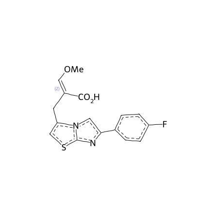 CO/C=C(/Cc1csc2nc(-c3ccc(F)cc3)cn12)C(=O)O